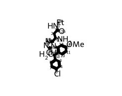 C=C(c1ccc(Cl)cc1)c1ccc(OC)cc1-n1c(C)nnc1[C@@H](N)CC(=O)NCC